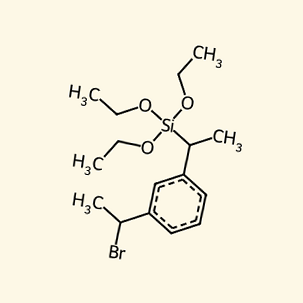 CCO[Si](OCC)(OCC)C(C)c1cccc(C(C)Br)c1